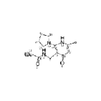 Cc1cc(=O)c(CNC(=O)C(C)(C)C)c(N2CCCC2)[nH]1